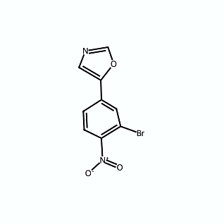 O=[N+]([O-])c1ccc(-c2cnco2)cc1Br